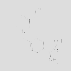 CN(CC(=O)OC(C)(C)C)Cc1ccc(/C(N)=N\O)cn1